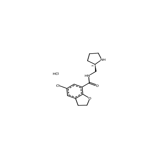 Cl.O=C(NC[C@H]1CCCN1)c1cc(Cl)cc2c1OCC2